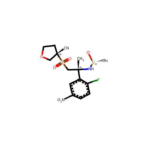 CC(C)(C)[S@@+]([O-])N[C@@](C)(CS(=O)(=O)[C@@]1(C#N)CCOC1)c1cc([N+](=O)[O-])ccc1F